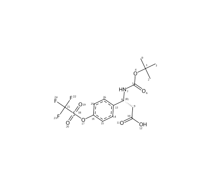 CC(C)(C)OC(=O)N[C@H](CC(=O)O)c1ccc(OS(=O)(=O)C(F)(F)F)cc1